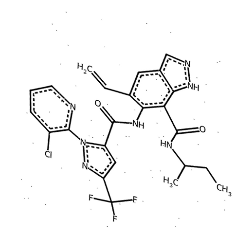 C=Cc1cc2cn[nH]c2c(C(=O)NC(C)CC)c1NC(=O)c1cc(C(F)(F)F)nn1-c1ncccc1Cl